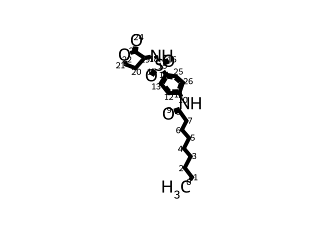 CCCCCCCCC(=O)Nc1ccc(S(=O)(=O)NC2CCOC2=O)cc1